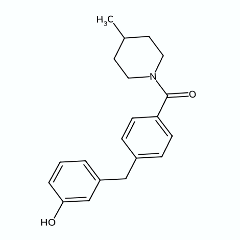 CC1CCN(C(=O)c2ccc(Cc3cccc(O)c3)cc2)CC1